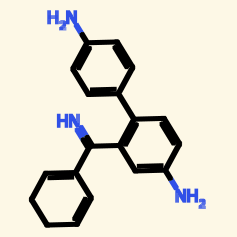 N=C(C1=CCCC=C1)c1cc(N)ccc1-c1ccc(N)cc1